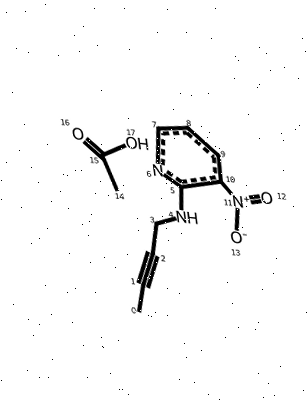 CC#CCNc1ncccc1[N+](=O)[O-].CC(=O)O